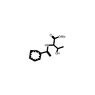 C=C(NC(C(=O)OC)C(C)O)c1ccccc1